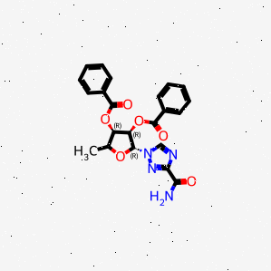 CC1O[C@@H](n2cnc(C(N)=O)n2)[C@H](OC(=O)c2ccccc2)[C@@H]1OC(=O)c1ccccc1